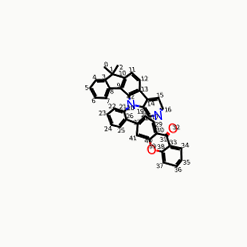 CC1(C)c2ccccc2-c2c1ccc1c3ccncc3n(-c3ccccc3-c3ccc4c(=O)c5ccccc5oc4c3)c21